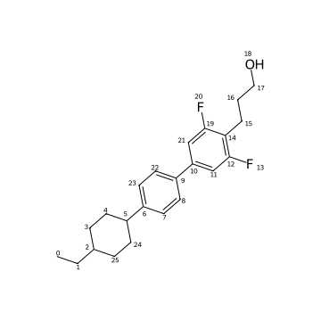 CCC1CCC(c2ccc(-c3cc(F)c(CCCO)c(F)c3)cc2)CC1